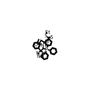 [CH2]c1cccc(C2(C(N3C(=O)CC3SC(=S)SCC)[PH](c3ccccc3)(c3ccccc3)c3ccccc3)N=NN=N2)c1